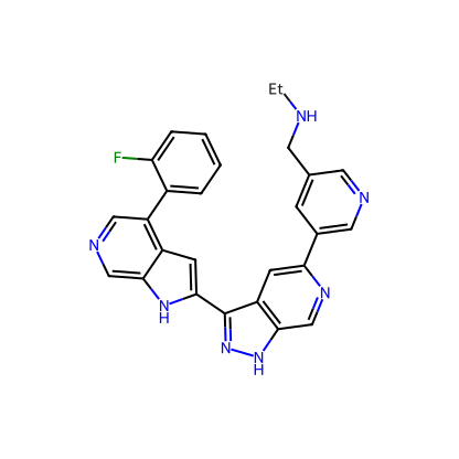 CCNCc1cncc(-c2cc3c(-c4cc5c(-c6ccccc6F)cncc5[nH]4)n[nH]c3cn2)c1